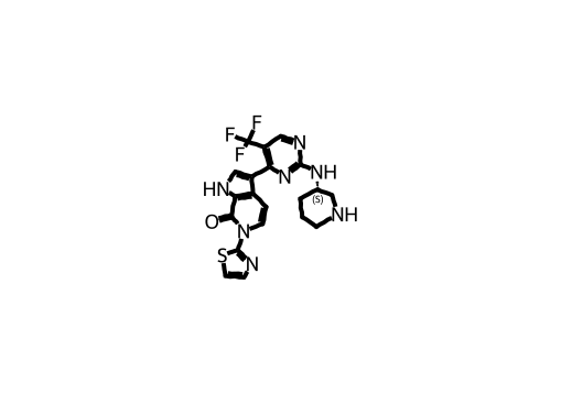 O=c1c2[nH]cc(-c3nc(N[C@H]4CCCNC4)ncc3C(F)(F)F)c2ccn1-c1nccs1